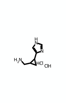 Cl.Cl.NCC1CC1c1c[nH]cn1